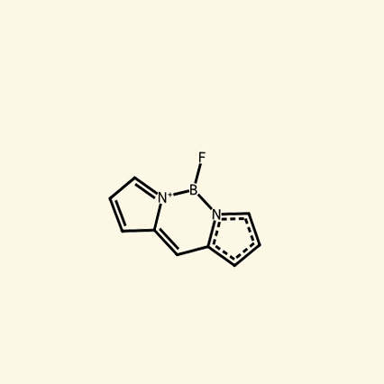 FB1n2cccc2C=C2C=CC=[N+]12